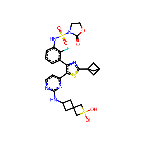 O=C1OCCN1S(=O)(=O)Nc1cccc(-c2nc(C34CC(C3)C4)sc2-c2ccnc(NC3CC4(C3)CS(O)(O)C4)n2)c1F